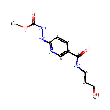 CC(C)(C)OC(=O)NNc1ccc(C(=O)NCCCO)cn1